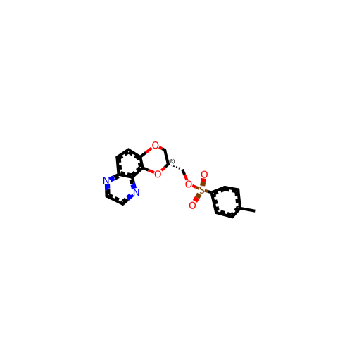 Cc1ccc(S(=O)(=O)OC[C@H]2COc3ccc4nccnc4c3O2)cc1